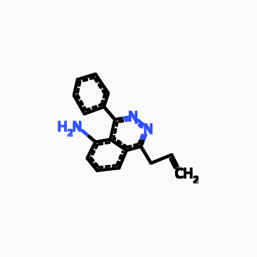 C=CCc1nnc(-c2ccccc2)c2c(N)cccc12